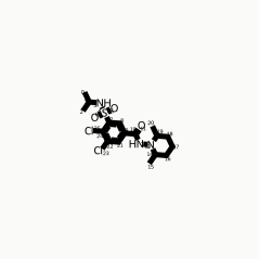 CC(C)NS(=O)(=O)c1cc(C(=O)NN2C(C)CCCC2C)cc(Cl)c1Cl